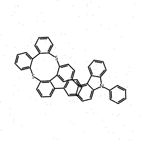 c1ccc(-c2cccc3c2-c2cc(-c4cccc5c4c4ccccc4n5-c4ccccc4)ccc2Sc2ccccc2-c2ccccc2S3)cc1